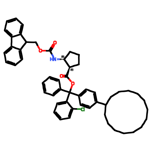 O=C(N[C@@H]1CCC[C@H]1C(=O)OC(c1ccccc1)(c1ccc(C2CCCCCCCCCCCCC2)cc1)c1ccccc1Cl)OCC1c2ccccc2-c2ccccc21